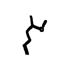 [CH]=CCCC(C)OC